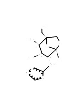 OC[C@@]12CO[C@@H](O1)[C@H](Nc1ncns1)[C@@H](O)[C@H]2O